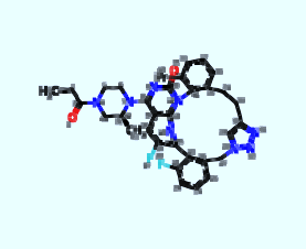 C=CC(=O)N1CCN(c2nc(=O)n3c4nc(c(F)cc24)-c2c(F)cccc2Cn2cc(nn2)CCc2cccc(C(C)C)c2-3)[C@@H](C)C1